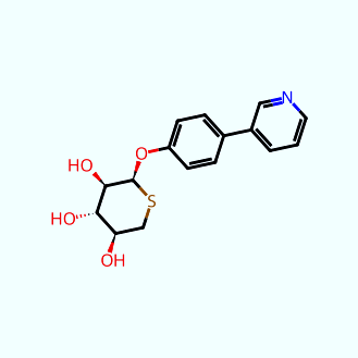 O[C@@H]1[C@@H](O)[C@@H](Oc2ccc(-c3cccnc3)cc2)SC[C@H]1O